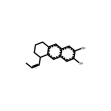 C/C=C\C1CCCc2cc3cc(S)c(S)cc3cc21